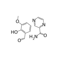 COc1cccc(C=O)c1O.NC(=O)c1cnccn1